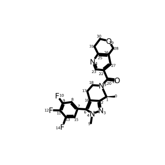 C[C@H]1c2nn(C)c(-c3cc(F)c(F)c(F)c3)c2CCN1C(=O)c1cnc2c(c1)COCC2